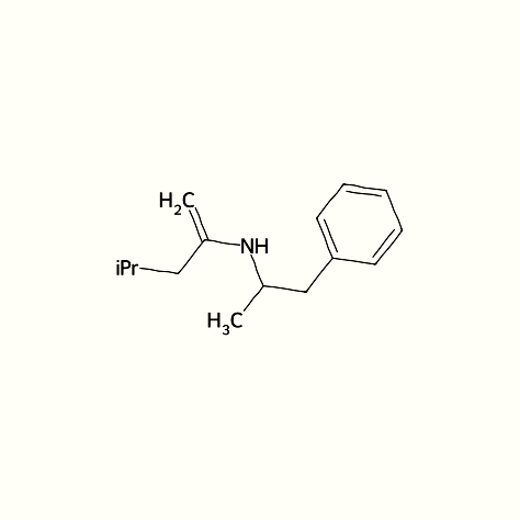 C=C(CC(C)C)NC(C)Cc1ccccc1